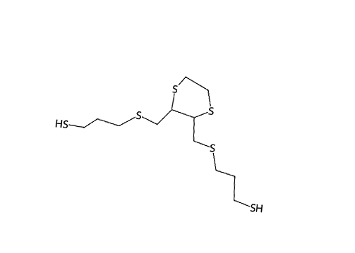 SCCCSCC1SCCSC1CSCCCS